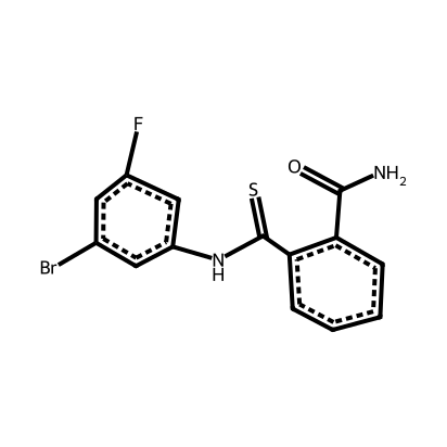 NC(=O)c1ccccc1C(=S)Nc1cc(F)cc(Br)c1